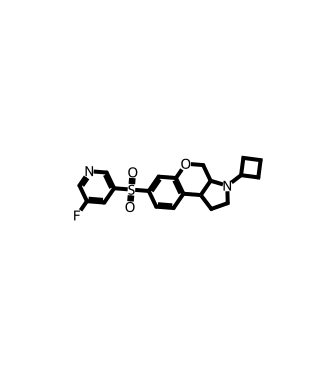 O=S(=O)(c1cncc(F)c1)c1ccc2c(c1)OCC1C2CCN1C1CCC1